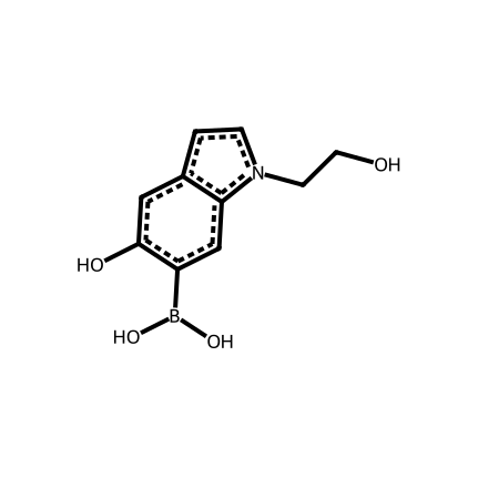 OCCn1ccc2cc(O)c(B(O)O)cc21